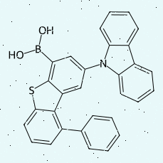 OB(O)c1cc(-n2c3ccccc3c3ccccc32)cc2c1sc1cccc(-c3ccccc3)c12